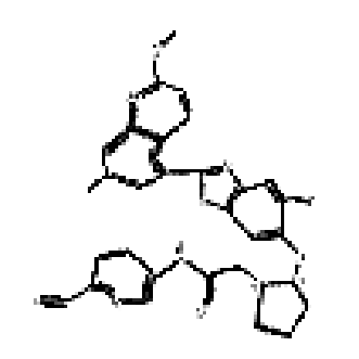 COc1cnc2c(-c3nc4cc(F)c(O[C@H]5CCC[C@H]5CC(=O)Nc5ccc(C#N)nc5)cc4s3)cc(C)cc2n1